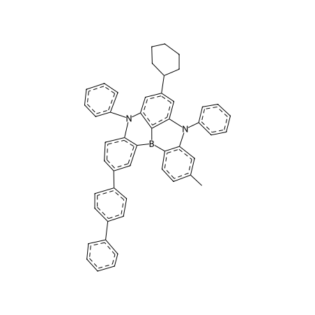 Cc1ccc2c(c1)N(c1ccccc1)c1cc(C3CCCCC3)cc3c1B2c1cc(-c2ccc(-c4ccccc4)cc2)ccc1N3c1ccccc1